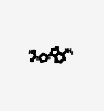 Nc1ncnc2c1ncn2[C@@H]1CC[C@H](C(=O)O)C1